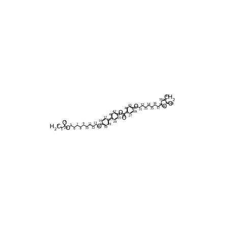 C=CC(=O)OCCCCCCCCCOc1ccc(-c2ccc(OC(=O)c3ccc(OCCCCCCCC4CC(=C)C(=O)O4)cc3)cc2)cc1